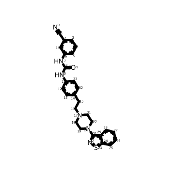 N#Cc1cccc(NC(=O)Nc2ccc(CCN3CCN(c4nsc5ccccc45)CC3)cc2)c1